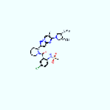 CO[C@@H]1CN(c2nc3cc([C@@H]4CCCCN4C(=O)c4cc(Cl)ccc4NS(C)(=O)=O)nn3cc2C)C[C@@H]1C#N